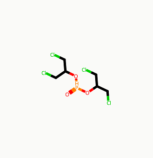 O=[PH](OC(CCl)CCl)OC(CCl)CCl